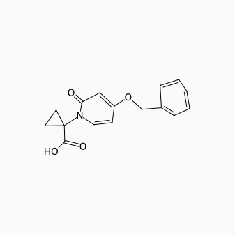 O=C(O)C1(n2ccc(OCc3ccccc3)cc2=O)CC1